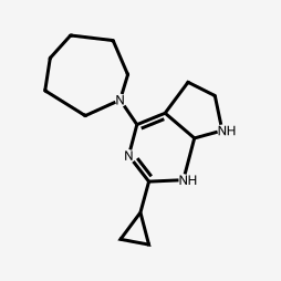 C1CCCN(C2=C3CCNC3NC(C3CC3)=N2)CC1